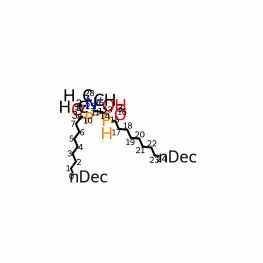 CCCCCCCCCCCCCCCCCC(=O)[P-]C(C(O)PC(=O)CCCCCCCCCCCCCCCCC)[N+](C)(C)C